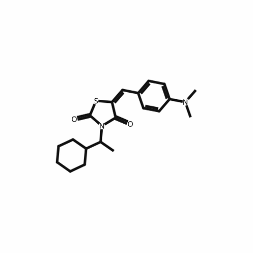 CC(C1CCCCC1)N1C(=O)SC(=Cc2ccc(N(C)C)cc2)C1=O